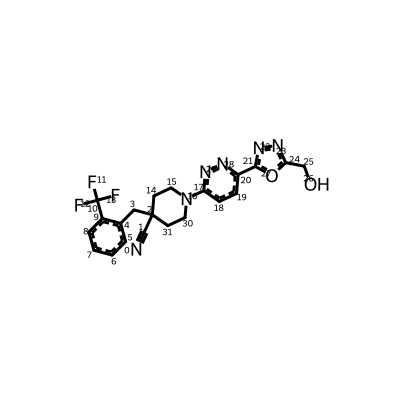 N#CC1(Cc2ccccc2C(F)(F)F)CCN(c2ccc(-c3nnc(CO)o3)nn2)CC1